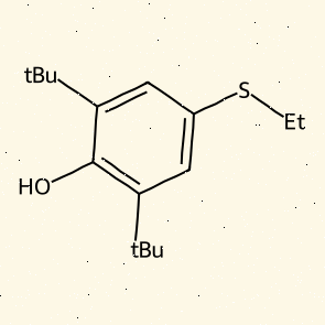 CCSc1cc(C(C)(C)C)c(O)c(C(C)(C)C)c1